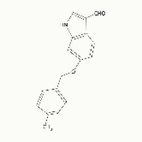 Cc1ccc(COc2ccc3c(C=O)c[nH]c3c2)cc1